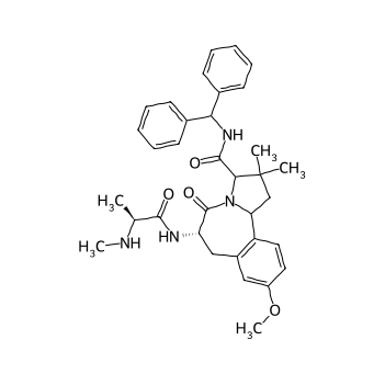 CN[C@@H](C)C(=O)N[C@H]1Cc2cc(OC)ccc2C2CC(C)(C)C(C(=O)NC(c3ccccc3)c3ccccc3)N2C1=O